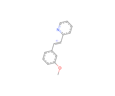 COc1cccc(/C=C/c2ccccn2)c1